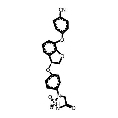 N#Cc1ccc(Oc2cccc3c2OC[C@H]3Oc2ccc(N3CC(=O)NS3(=O)=O)cc2)cc1